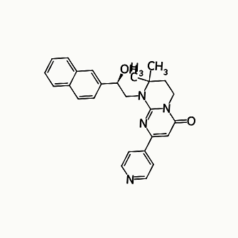 CC1(C)CCn2c(nc(-c3ccncc3)cc2=O)N1C[C@H](O)c1ccc2ccccc2c1